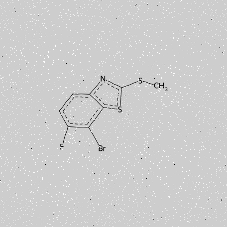 CSc1nc2ccc(F)c(Br)c2s1